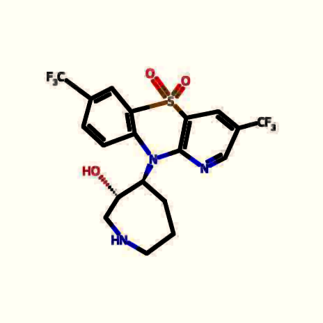 O=S1(=O)c2cc(C(F)(F)F)ccc2N([C@H]2CCCNC[C@@H]2O)c2ncc(C(F)(F)F)cc21